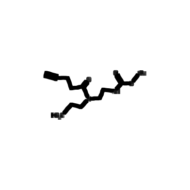 C#CCCC(=O)N(CCNC(=O)OC(C)(C)C)CCC(=O)O